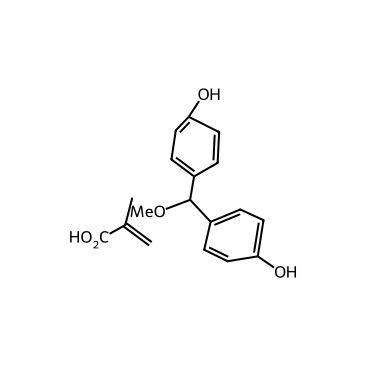 C=C(C)C(=O)O.COC(c1ccc(O)cc1)c1ccc(O)cc1